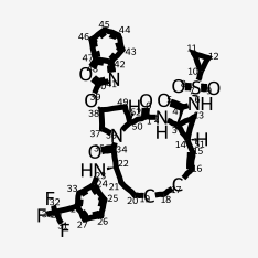 O=C1N[C@]2(C(=O)NS(=O)(=O)C3CC3)C[C@H]2/C=C\CCCCC[C@H](Nc2cccc(C(F)(F)F)c2)C(=O)N2C[C@H](Oc3nc4ccccc4o3)C[C@@H]12